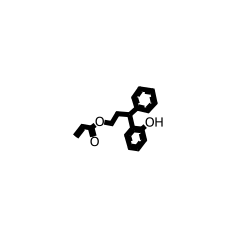 C=CC(=O)OCCC(c1ccccc1)c1ccccc1O